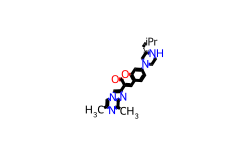 Cc1cn2cc(-c3cc4ccc(N5CCN[C@@H](CC(C)C)C5)cc4oc3=O)nc2c(C)n1